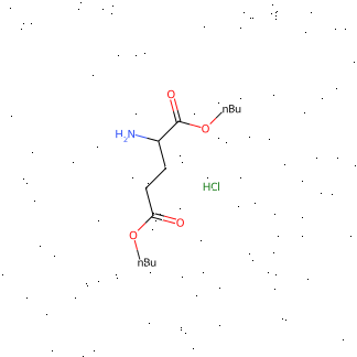 CCCCOC(=O)CCC(N)C(=O)OCCCC.Cl